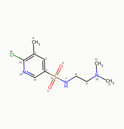 Cc1cc(S(=O)(=O)NCCN(C)C)cnc1Cl